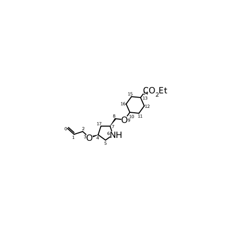 C=CCO[C@@H]1CN[C@H](COC2CCC(C(=O)OCC)CC2)C1